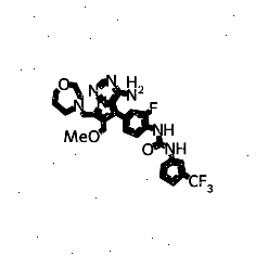 COCc1c(-c2ccc(NC(=O)Nc3cccc(C(F)(F)F)c3)c(F)c2)c2c(N)ncnn2c1CN1CCCOCC1